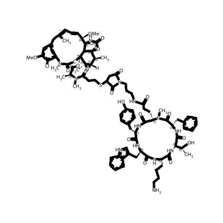 COc1cc2cc(c1Cl)N(C)C(=O)C[C@@]1(OC(=O)[C@H](C)N(C)C(=O)CCSC3CC(=O)N(CCCNC(=O)CC[C@H]4C(=O)N[C@@H](Cc5ccc(O)cc5)C(=O)N[C@H](Cc5c[nH]c6ccccc56)C(=O)N[C@@H](CCCCN)C(=O)N[C@@H]([C@@H](C)O)C(=O)N[C@@H](Cc5ccccc5)C(=O)N4C)C3=O)C3[C@H](OC(=O)N[C@@]3(O)[C@H](OC)/C=C/C=C(\C)C2)[C@@H](C)[C@@H]2O[C@]21C